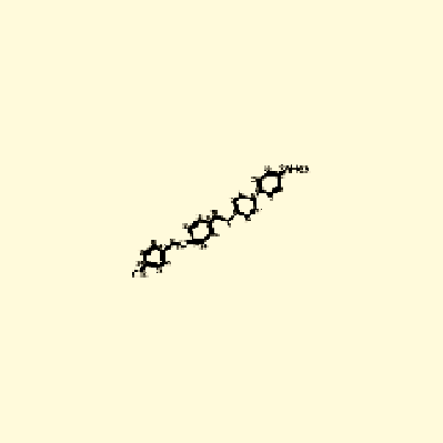 CCCCCCc1ccc([C@H]2CC[C@H](CCc3ccc(CCc4ccc(Cl)cc4)cc3)CC2)cc1